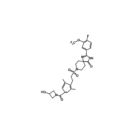 Cc1cc(C(=O)N2CC(O)C2)cc(C)c1CCS(=O)(=O)N1CCC2(CC1)N=C(c1ccc(F)c(OC(F)(F)F)c1)NC2=O